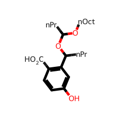 CCCCCCCCOC(CCC)OC(CCC)c1cc(O)ccc1C(=O)O